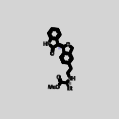 CC[C@H](NCCc1ccc2c(c1)CO/C2=C1/C(=O)Nc2ccccc21)C(=O)OC